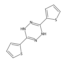 c1csc(C2=NNC(c3cccs3)=NN2)c1